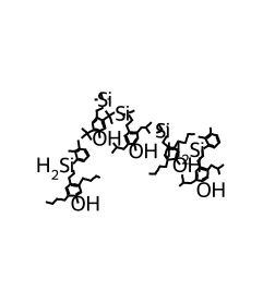 CC(C)(C)c1cc(CC[Si](C)(C)C)c(C(C)(C)C)cc1O.CC(C)Cc1cc(CC[Si](C)(C)C)c(CC(C)C)cc1O.CCCCc1cc(CC[SiH2]c2cccc(C)c2C)c(CCCC)cc1O.CCCCc1cc(CC[Si](C)(C)C)c(CCCC)cc1O.Cc1cccc([SiH2]CCc2cc(CC(C)C)c(O)cc2CC(C)C)c1C